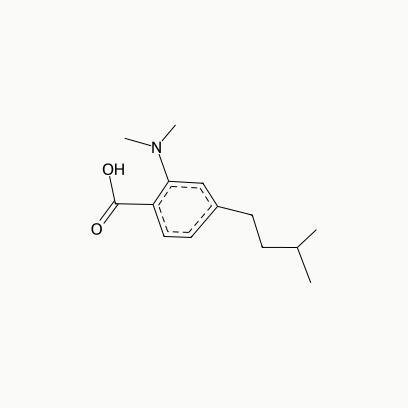 CC(C)CCc1ccc(C(=O)O)c(N(C)C)c1